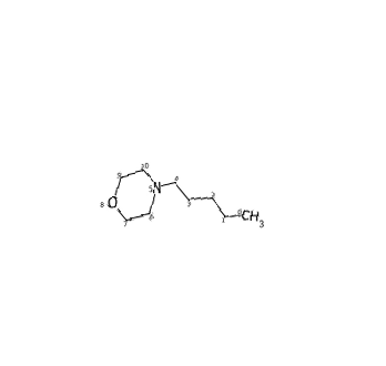 CCCCCN1C[CH]OCC1